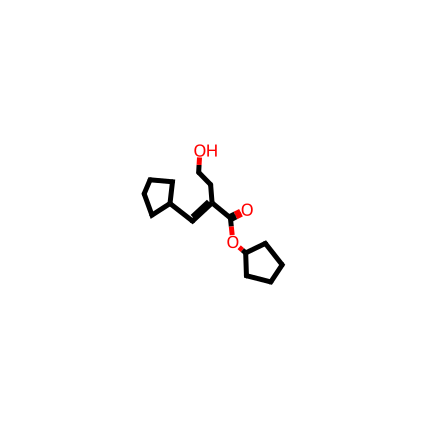 O=C(OC1CCCC1)C(=CC1CCCC1)CCO